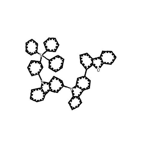 c1ccc([Si](c2ccccc2)(c2ccccc2)c2cccc(-n3c4ccccc4c4cc(-n5c6ccccc6c6ccc(-c7cccc8c7oc7ccccc78)cc65)ccc43)c2)cc1